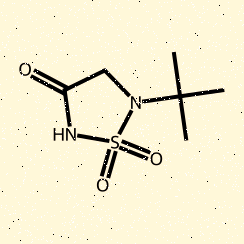 CC(C)(C)N1CC(=O)NS1(=O)=O